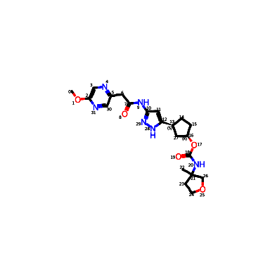 COc1cnc(CC(=O)Nc2cc([C@H]3CC[C@@H](OC(=O)NC4(C)CCOC4)C3)[nH]n2)cn1